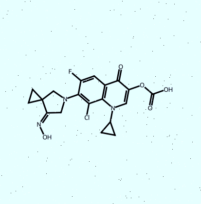 O=C(O)Oc1cn(C2CC2)c2c(Cl)c(N3CC(=NO)C4(CC4)C3)c(F)cc2c1=O